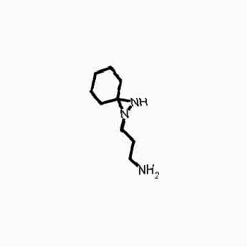 NCCCN1NC12CCCCC2